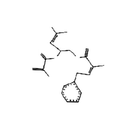 C=C(C)C(=O)OC(C=C(C)C(=O)O)COC(=O)C(C)=CCc1ccccc1